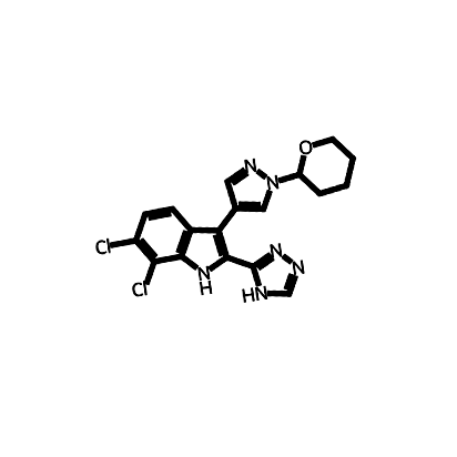 Clc1ccc2c(-c3cnn(C4CCCCO4)c3)c(-c3nnc[nH]3)[nH]c2c1Cl